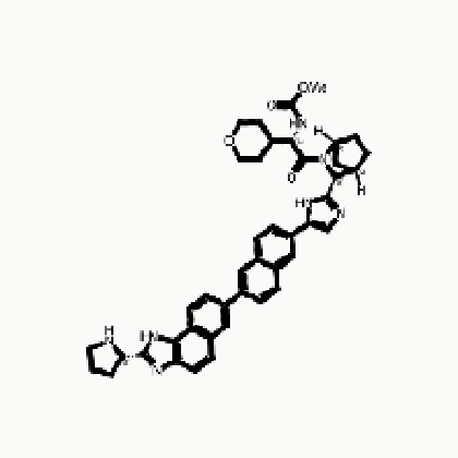 COC(=O)N[C@H](C(=O)N1[C@@H]2CC[C@@H](C2)[C@H]1c1ncc(-c2ccc3cc(-c4ccc5c(ccc6nc([C@@H]7CCCN7)[nH]c65)c4)ccc3c2)[nH]1)C1CCOCC1